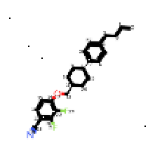 CCCCc1ccc([C@H]2CC[C@H](COc3ccc(C#N)c(F)c3F)CC2)cc1